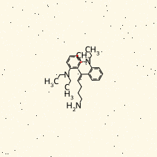 CCN(CC)c1ccccc1C(=CCCCN)c1ccccc1N(CC)CC